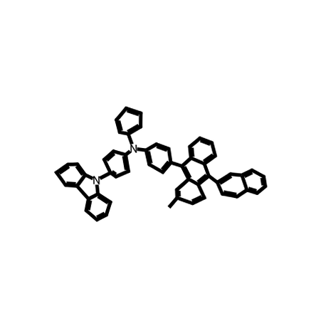 Cc1ccc2c(-c3ccc4ccccc4c3)c3ccccc3c(-c3ccc(N(c4ccccc4)c4ccc(-n5c6ccccc6c6ccccc65)cc4)cc3)c2c1